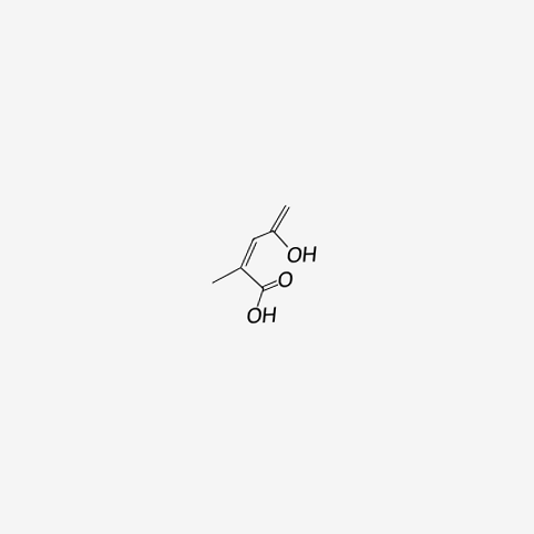 C=C(O)C=C(C)C(=O)O